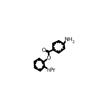 CCCc1ccccc1OC(=O)c1ccc(N)cc1